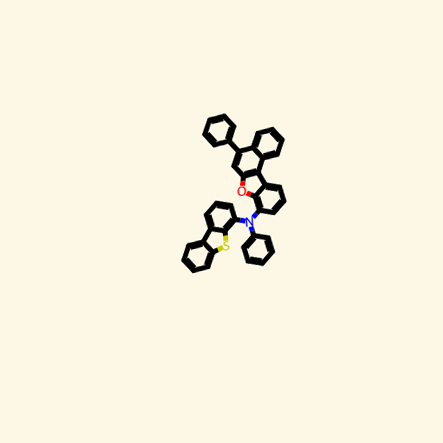 c1ccc(-c2cc3oc4c(N(c5ccccc5)c5cccc6c5sc5ccccc56)cccc4c3c3ccccc23)cc1